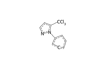 ClC(Cl)(Cl)c1ccnn1-c1ccccc1